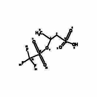 CC(CS(=O)(=O)O)OS(=O)(=O)C(F)(F)F